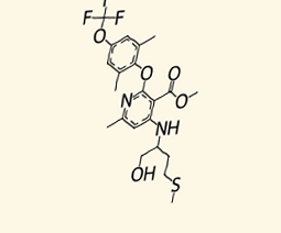 COC(=O)c1c(NC(CO)CCSC)cc(C)nc1Oc1c(C)cc(OC(F)(F)F)cc1C